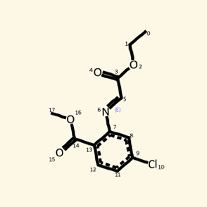 CCOC(=O)/C=N/c1cc(Cl)ccc1C(=O)OC